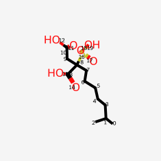 CC(C)CCCCCC(CC(=O)O)(C(=O)O)S(=O)(=O)O